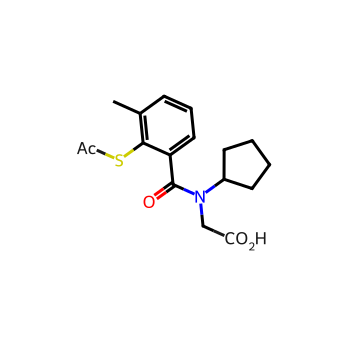 CC(=O)Sc1c(C)cccc1C(=O)N(CC(=O)O)C1CCCC1